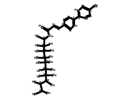 CCc1cnc(-c2ccc(C=CC(=O)OC(F)C(F)(F)C(F)(F)C(F)(F)C(F)(F)C(F)(F)C(F)(F)C(F)C(F)C(F)F)cc2)nc1